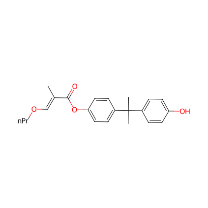 CCCOC=C(C)C(=O)Oc1ccc(C(C)(C)c2ccc(O)cc2)cc1